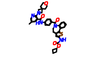 Cc1cnc(N2CC3(CCOCC3)C2)c(C(=O)Nc2ccc(C(=O)N3CCc4cc(NC(=O)OC5CCC5)sc4-c4ccccc43)cc2)c1